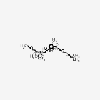 CCCOCCC(=O)NC(C(=O)NCC(=O)Nc1ccc(C)c(C(=O)NCCOCCOCCC(C)C)c1)C(C)C